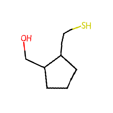 OCC1CCCC1CS